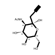 C#CC[C@@]1(O)O[C@H](CO)[C@@H](O)[C@H](O)[C@H]1NC(C)=O